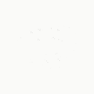 O=C(c1ccc2c(c1)-c1nc(-c3nc(CC(F)(F)F)n[nH]3)cn1CCO2)N1CCN(CCO)CC1